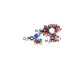 CC[C@H]1OC(=O)[C@H](C)[C@@H](O[C@H]2C[C@@](C)(OC)[C@@H](O)[C@H](C)O2)[C@H](C)[C@@H](O[C@@H]2O[C@H](C)C[C@H](N(C)CCCc3cn(C(c4ccc([N+](=O)[O-])cc4)C(CO)NC(=O)C(Cl)Cl)nn3)[C@H]2O)[C@](C)(O)C[C@@H](C)C(=O)[C@H](C)[C@@H](O)[C@]1(C)O